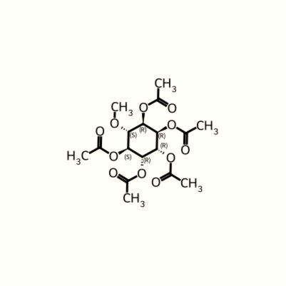 CO[C@@H]1[C@@H](OC(C)=O)[C@@H](OC(C)=O)[C@H](OC(C)=O)[C@H](OC(C)=O)[C@H]1OC(C)=O